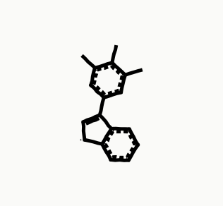 Cc1cc(C2=C[CH]c3ccccc32)cc(C)c1C